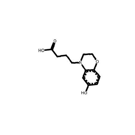 O=C(O)CCCN1CCOc2ccc(O)cc21